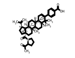 C=C(C)[C@@H]1CC[C@]2(C(=O)N3CCCC3C(C)=O)CC[C@]3(C)[C@H](CC[C@@H]4[C@@]5(C)CC=C(c6ccc(C(=O)O)cc6)C(C)(C)[C@@H]5CC[C@]43C)[C@@H]12